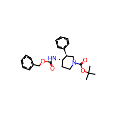 CC(C)(C)OC(=O)N1CC[C@H](NC(=O)OCc2ccccc2)[C@@H](c2ccccc2)C1